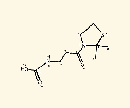 CC1(C)SCCN1C(=O)CCNC(=O)O